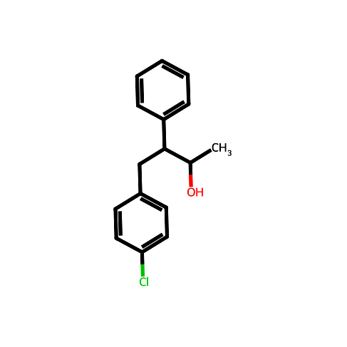 CC(O)C(Cc1ccc(Cl)cc1)c1ccccc1